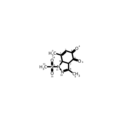 CC1=CC(=O)C(=O)C2C(C)=NN(S(C)(=O)=O)C12